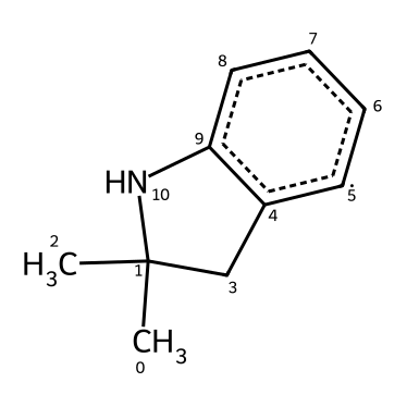 CC1(C)Cc2[c]cccc2N1